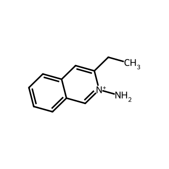 CCc1cc2ccccc2c[n+]1N